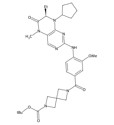 CC[C@@H]1C(=O)N(C)c2cnc(Nc3ccc(C(=O)N4CC5(CN(C(=O)OC(C)(C)C)C5)C4)cc3OC)nc2N1C1CCCC1